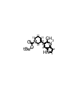 Cc1nc2cc[nH]c2cc1C1=CCCN(C(=O)OC(C)(C)C)C1